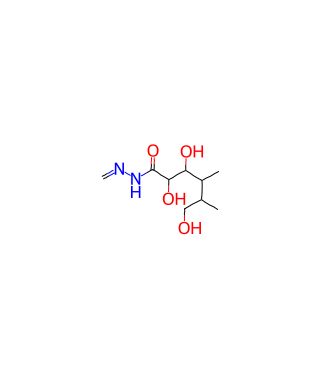 C=NNC(=O)C(O)C(O)C(C)C(C)CO